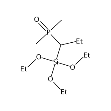 CCO[Si](OCC)(OCC)C(CC)P(C)(C)=O